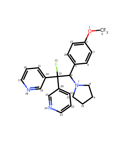 FC(F)(F)Oc1ccc(C(N2CCCC2)C(F)(c2cccnc2)c2cccnc2)cc1